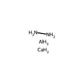 NN.[AlH3].[CaH2]